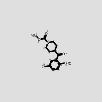 CCCCOC(=O)N1CCC(C(=O)c2cc(Cl)ccc2C=O)CC1